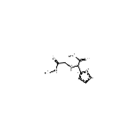 COC(=O)C(NCC(=O)OC(C)(C)C)c1ccco1